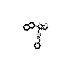 C(=N\OCc1ccccc1)/c1c(-c2ccc3ccccc3c2)nc2occn12